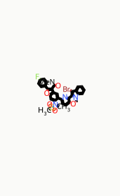 CNC(=O)c1c(-c2ccc(F)cc2)oc2cc(N(C)S(C)(=O)=O)c(-c3ccc4c(n3)-c3c(Br)c5ccccc5n3CO4)cc12